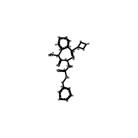 CCCN1C(=O)[C@H](NC(=O)OCc2ccccc2)N=C(C2CCC2)c2ccccc21